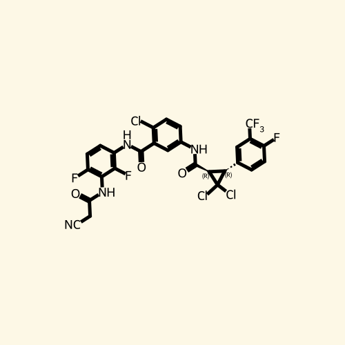 N#CCC(=O)Nc1c(F)ccc(NC(=O)c2cc(NC(=O)[C@H]3[C@H](c4ccc(F)c(C(F)(F)F)c4)C3(Cl)Cl)ccc2Cl)c1F